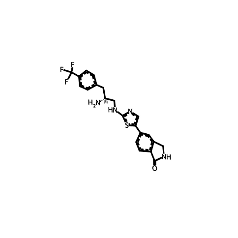 N[C@@H](CNc1ncc(-c2ccc3c(c2)CNC3=O)s1)Cc1ccc(C(F)(F)F)cc1